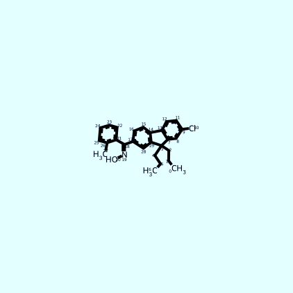 CCCC1(CCC)c2cc(Cl)ccc2-c2ccc(C(=NO)c3ccccc3C)cc21